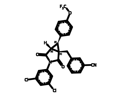 N#Cc1cccc(C[C@@]23C(=O)N(c4cc(Cl)cc(Cl)c4)C(=O)[C@@H]2[C@@H]3c2ccc(OC(F)(F)F)cc2)c1